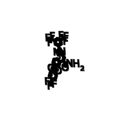 NC(=O)/C(=C/n1cnc(-c2cc(C(F)(F)F)cc(C(F)(F)F)c2)n1)c1cccc(S(=O)(=O)N2CCC(C(F)(F)F)CC2)c1